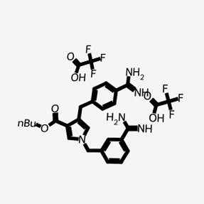 CCCCOC(=O)c1cn(Cc2cccc(C(=N)N)c2)cc1Cc1ccc(C(=N)N)cc1.O=C(O)C(F)(F)F.O=C(O)C(F)(F)F